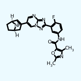 Cc1nc(C)c(C(=O)Nc2ccc(F)c(-c3nc4ncc(C5=C[C@@H]6CC[C@H](C5)N6)cn4n3)c2)o1